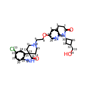 O=C1CCc2cc(OCCN3CCC4(CC3)C(=O)Nc3ccc(Cl)cc34)cnc2N1[C@H]1C[C@H](CO)C1